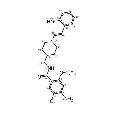 COc1cc(N)c(Cl)cc1C(=O)NCC1CCN(C=Cc2ccccc2O)CC1